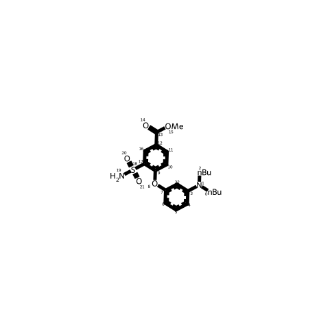 CCCCN(CCCC)c1cccc(Oc2ccc(C(=O)OC)cc2S(N)(=O)=O)c1